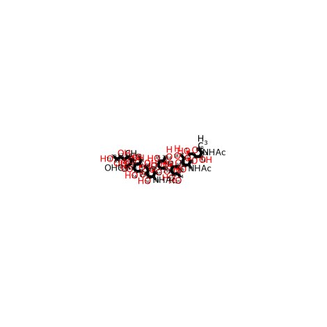 CC(=O)NC1[C@H](O[C@@H]2C(CO)O[C@@H](C)C(NC(C)=O)[C@H]2O)OC(CO)[C@@H](O[C@@H]2OC(CO)[C@@H](O)[C@H](O[C@H]3OC(CO)[C@@H](O)C(O)C3O[C@@H]3OC(CO)[C@@H](O[C@@H]4OC(CO)[C@H](O)[C@H](O[C@]5(OC=O)C[C@@H](O)[C@@H](C)C([C@H](O)[C@H](O)CO)O5)C4O)[C@H](O)C3NC(C)=O)C2O)[C@@H]1O